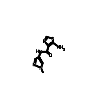 Cn1cc(NC(=O)c2ncsc2N)cn1